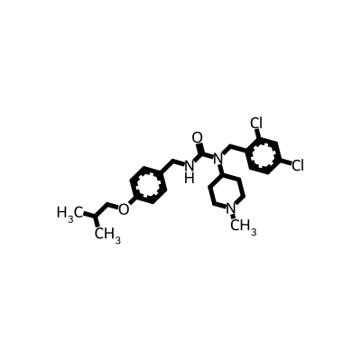 CC(C)COc1ccc(CNC(=O)N(Cc2ccc(Cl)cc2Cl)C2CCN(C)CC2)cc1